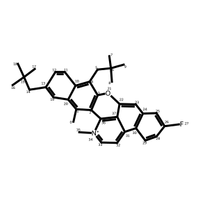 Cc1c2c(c(CC(C)(C)C)c3ccc(CC(C)(C)C)cc13)Oc1cc3cc(F)ccc3c3cc[n+](C)c-2c13